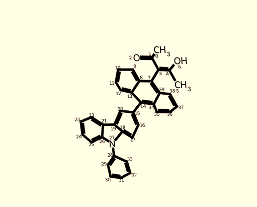 CC(=O)/C(=C(/C)O)c1c2ccccc2c(-c2ccc3c(c2)c2ccccc2n3-c2ccccc2)c2ccccc12